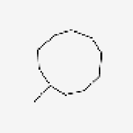 [CH2]C1CCCCCCCCC1